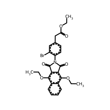 CCOC(=O)Cc1ccc(N2C(=O)c3c(c(OCC)c4ccccc4c3OCC)C2=O)c(Br)c1